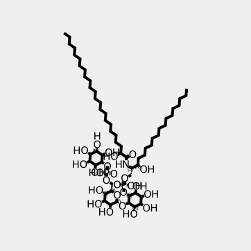 CCCCCCCCCCCCCCCCCCCCCCC(O)C(=O)N[C@@H](COP(=O)(O)O[C@H]1C(O)C(O)C(O)[C@@H](O)C1O[C@H]1O[C@H](COP(=O)(O)OC2C(O)C(O)C(O)[C@@H](O)C2O)[C@@H](O)C(O)C1O)[C@H](O)CCCCCCCCCCCCCCC